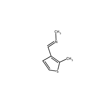 CN=Cc1ccsc1C